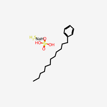 CCCCCCCCCCCCc1ccccc1.O=S(=O)(O)O.S.[NaH]